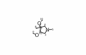 CO[C@H]1CN(C)C[C@@]1(C)OC